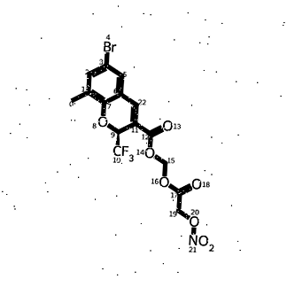 Cc1cc(Br)cc2c1O[C@H](C(F)(F)F)C(C(=O)OCOC(=O)CO[N+](=O)[O-])=C2